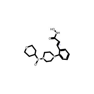 O=C(/C=C/c1ccccc1N1CCN([S+]([O-])C2CCOCC2)CC1)NO